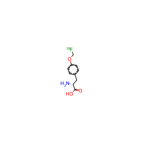 N[C@H](Cc1ccc(OC[18F])cc1)C(=O)O